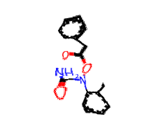 Cc1ccccc1N(OC(=O)Cc1ccccc1)C(N)=O